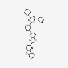 c1ccc(-c2nc(-c3ccccc3)nc(-c3cccc(-c4ccc5ncc(-c6ccc7oc8ccccc8c7n6)nc5c4)c3)n2)cc1